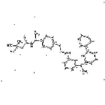 CC(NC(=O)OC(C)(C)C)c1ccc(CCNc2nccc(N(C)c3ccnc(-c4ccccc4)n3)n2)cc1